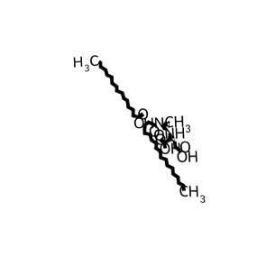 CCCCCCCCCCCCCCCC(=O)OC(CCCCCCCCCCCCCCC)CC(=O)N[C@@H](C)C(=O)N[C@@H](CCC(=O)O)C(=O)O